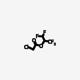 O=C(CCl)OC(C(F)F)C(F)(F)F